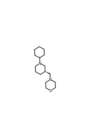 C1CCC(N2CCC[C@H](CN3CCOCC3)C2)CC1